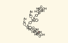 CC(=O)CCN1CCC(Cc2nc3ccccc3n2Cc2ccc(F)cc2)CC1.CC(=O)CCN1CCC(Cc2nc3ccccc3n2Cc2ccc(F)cc2)CC1.O=C(O)C(=O)O.O=C(O)C(=O)O.O=C(O)C(=O)O.O=C(O)C(=O)O.O=C(O)C(=O)O